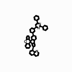 c1ccc(-c2cc(-c3cccc(-c4ccc5c(c4)C4(c6ccccc6Oc6ccccc64)c4cc(-c6cccc7cccnc67)ccc4-5)c3)nc(-c3ccccc3)n2)cc1